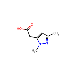 Cc1cc(CC(=O)O)n(C)n1